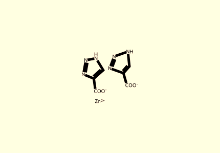 O=C([O-])c1c[nH]nn1.O=C([O-])c1c[nH]nn1.[Zn+2]